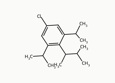 CC(C)c1cc(Cl)cc(C(C)C)c1C(C)C(C)C